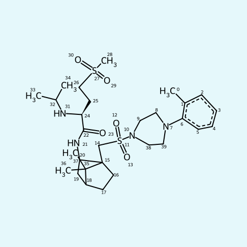 Cc1ccccc1N1CCN(S(=O)(=O)CC23CCC(CC2NC(=O)[C@H](CCS(C)(=O)=O)NC(C)C)C3(C)C)CC1